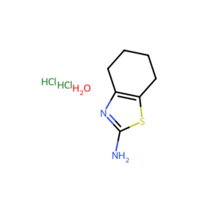 Cl.Cl.Nc1nc2c(s1)CCCC2.O